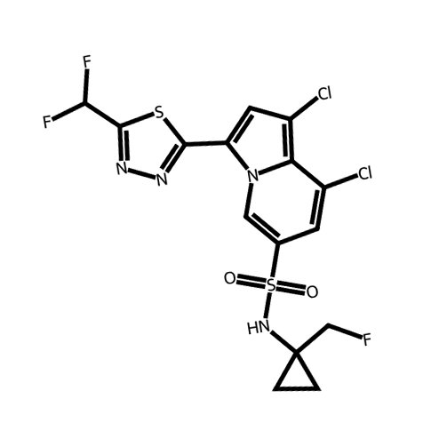 O=S(=O)(NC1(CF)CC1)c1cc(Cl)c2c(Cl)cc(-c3nnc(C(F)F)s3)n2c1